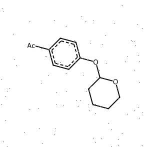 CC(=O)c1ccc(OC2CCCCO2)cc1